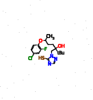 CC(CCC(O)(Cn1ncnc1S)C(C)(C)C)Oc1ccc(Cl)cc1F